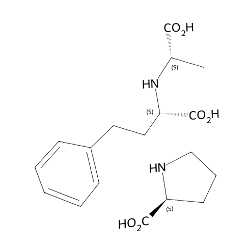 C[C@H](N[C@@H](CCc1ccccc1)C(=O)O)C(=O)O.O=C(O)[C@@H]1CCCN1